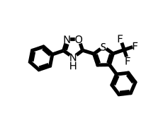 FC(F)(F)c1sc(C2NC(c3ccccc3)=NO2)cc1-c1ccccc1